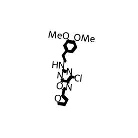 COc1ccc(CCNc2nc(Cl)c3nc(-c4ccco4)oc3n2)cc1OC